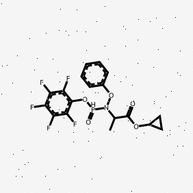 CC(C(=O)OC1CC1)N(Oc1ccccc1)[PH](=O)Oc1c(F)c(F)c(F)c(F)c1F